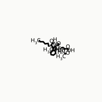 CCCCCC[C@H]1C(=O)N[C@](C(=O)SCC(NC(C)=O)C(=O)O)([C@@H](O)C2C=CCCC2)[C@@]1(C)O